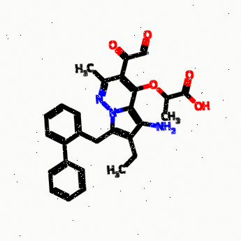 CCc1c(N)c2c(OC(C)C(=O)O)c(C(=O)[C]=O)c(C)nn2c1Cc1ccccc1-c1ccccc1